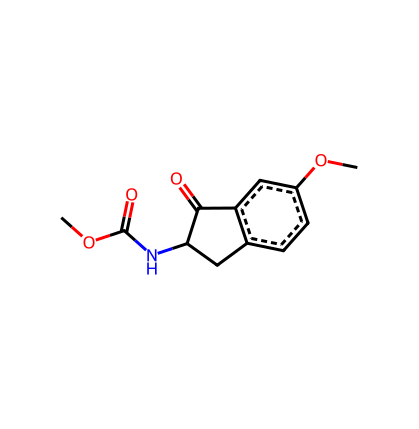 COC(=O)NC1Cc2ccc(OC)cc2C1=O